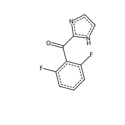 O=C(c1ncc[nH]1)c1c(F)cccc1F